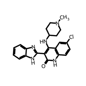 CN1CCC(Nc2c(-c3nc4ccccc4[nH]3)c(=O)[nH]c3ccc(Cl)cc23)CC1